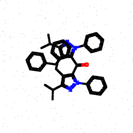 CC(C)c1nn(-c2ccccc2)c(C(=O)c2c(Cc3ccccc3)c(C(C)C)nn2-c2ccccc2)c1Cc1ccccc1